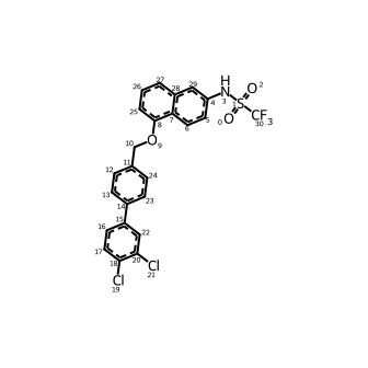 O=S(=O)(Nc1ccc2c(OCc3ccc(-c4ccc(Cl)c(Cl)c4)cc3)cccc2c1)C(F)(F)F